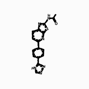 CC(=O)Nc1nc2ccc(-c3ccc(-c4nnc[nH]4)cc3)nc2s1